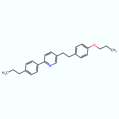 CCCOc1ccc(CCc2ccc(-c3ccc(CCC)cc3)nc2)cc1